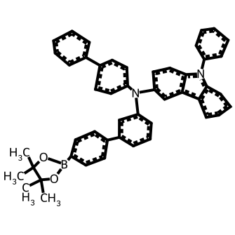 CC1(C)OB(c2ccc(-c3cccc(N(c4ccc(-c5ccccc5)cc4)c4ccc5c(c4)c4ccccc4n5-c4ccccc4)c3)cc2)OC1(C)C